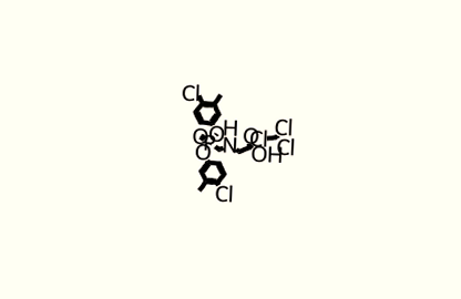 Cc1cc(OP(=O)(CNCC(=O)O)Oc2ccc(Cl)c(C)c2)ccc1Cl.ClC(Cl)Cl